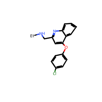 CCNCc1cc(Oc2ccc(Cl)cc2)c2ccccc2n1